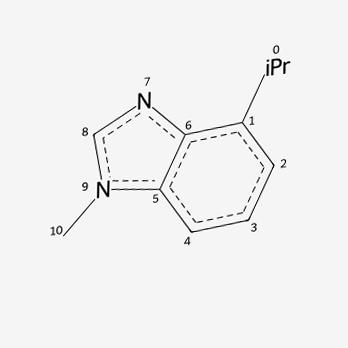 CC(C)c1cccc2c1ncn2C